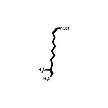 CC=C(N)CCCCCCC/C=C\CCCCCCCC